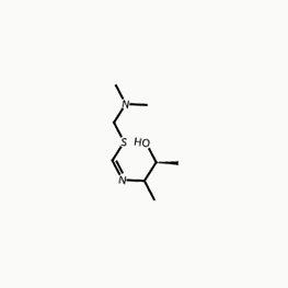 CC(/N=C\SCN(C)C)[C@H](C)O